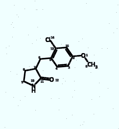 COc1ccc(CC2CCNC2=O)c(Cl)c1